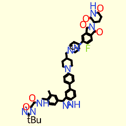 Cc1cc(-c2n[nH]c3ccc(-c4ccc(N5CCC(CN6CC7CCC6CN7c6cc7c(cc6F)C(=O)N(C6CCC(=O)NC6=O)C7=O)CC5)cc4)cc23)ccc1CNC(=O)c1nc(C(C)(C)C)no1